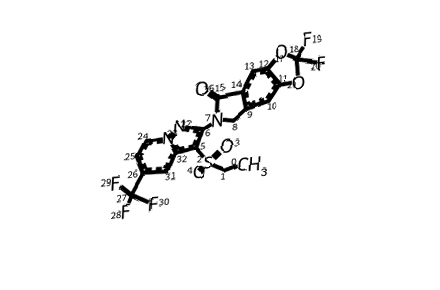 CCS(=O)(=O)c1c(N2Cc3cc4c(cc3C2=O)OC(F)(F)O4)nn2ccc(C(F)(F)F)cc12